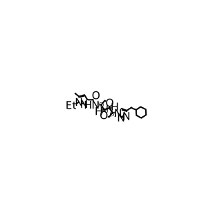 CCn1nc(C(=O)N[C@H]2CO[C@H]3[C@@H]2OC[C@@H]3n2cc(CC3CCCCC3)nn2)cc1C